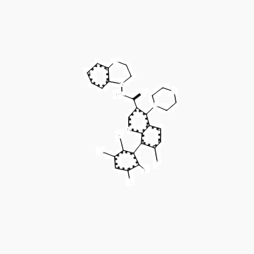 O=C(NN1CCOc2ccccc21)c1cnc2c(-c3c(F)c(Cl)cc(Cl)c3F)c(F)ccc2c1N1CCOCC1